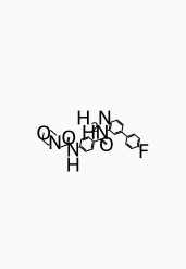 Nc1ccc(-c2ccc(F)cc2)cc1NC(=O)c1ccc(NC(=O)CN2CCOCC2)cc1